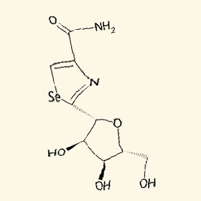 NC(=O)c1c[se]c([C@@H]2O[C@H](CO)[C@@H](O)[C@H]2O)n1